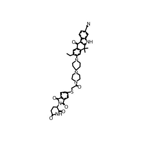 CCc1cc2c(cc1N1CCC(N3CCN(C(=O)CSc4ccc5c(c4)C(=O)N(C4CCC(=O)NC4=O)C5=O)CC3)CC1)C(C)(C)c1[nH]c3cc(C#N)ccc3c1C2=O